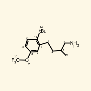 CC(CN)CCc1cc(OC(F)(F)F)ccc1C(C)(C)C